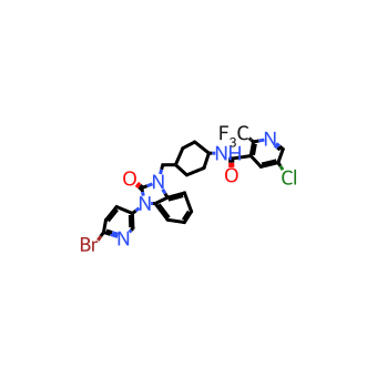 O=C(NC1CCC(Cn2c(=O)n(-c3ccc(Br)nc3)c3ccccc32)CC1)c1cc(Cl)cnc1C(F)(F)F